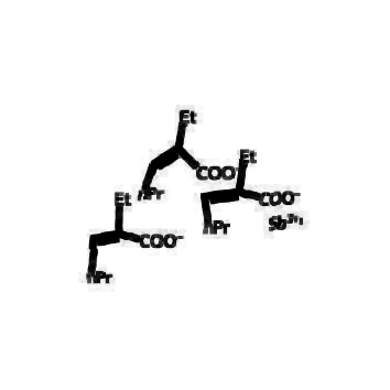 CCCC=C(CC)C(=O)[O-].CCCC=C(CC)C(=O)[O-].CCCC=C(CC)C(=O)[O-].[Sb+3]